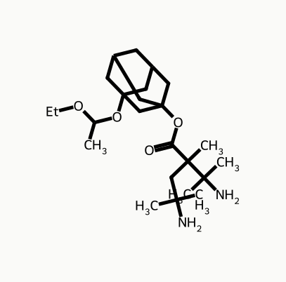 CCOC(C)OC12CC3CC(CC(OC(=O)C(C)(CC(C)(C)N)C(C)(C)N)(C3)C1)C2